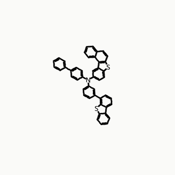 c1ccc(-c2ccc(N(c3cccc(-c4cccc5c4sc4ccccc45)c3)c3ccc4sc5ccc6ccccc6c5c4c3)cc2)cc1